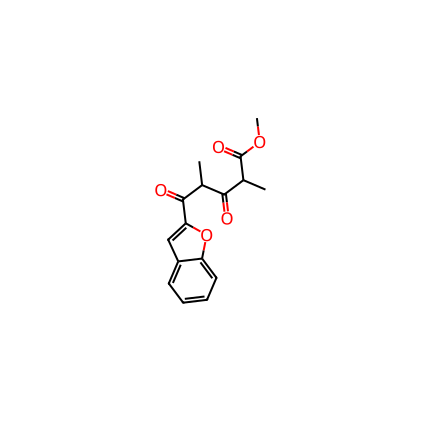 COC(=O)C(C)C(=O)C(C)C(=O)c1cc2ccccc2o1